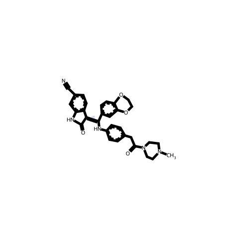 CN1CCN(C(=O)Cc2ccc(N/C(=C3\C(=O)Nc4cc(C#N)ccc43)c3ccc4c(c3)OCCO4)cc2)CC1